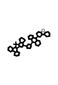 CC1(C)c2c(cc(-c3cccc(-c4c5ccccc5c(-c5ccc6oc7ccccc7c6c5)c5ccccc45)c3)c3ccccc23)-c2c1c1ccccc1c1ccccc21